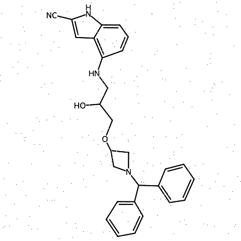 N#Cc1cc2c(NCC(O)COC3CN(C(c4ccccc4)c4ccccc4)C3)cccc2[nH]1